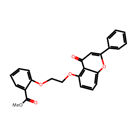 COC(=O)c1ccccc1OCCOc1cccc2oc(-c3ccccc3)cc(=O)c12